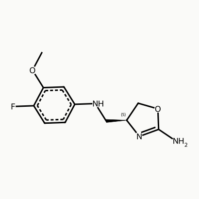 COc1cc(NC[C@H]2COC(N)=N2)ccc1F